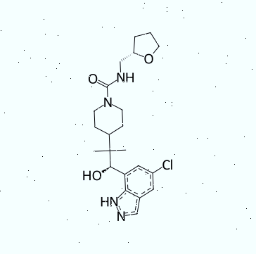 CC(C)(C1CCN(C(=O)NC[C@@H]2CCCO2)CC1)[C@H](O)c1cc(Cl)cc2cn[nH]c12